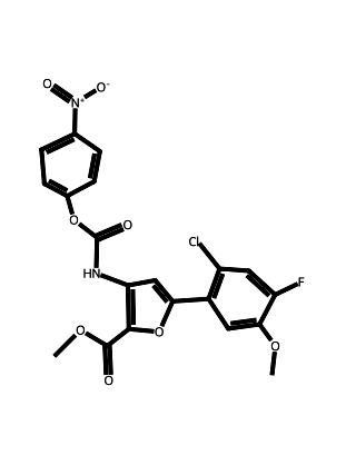 COC(=O)c1oc(-c2cc(OC)c(F)cc2Cl)cc1NC(=O)Oc1ccc([N+](=O)[O-])cc1